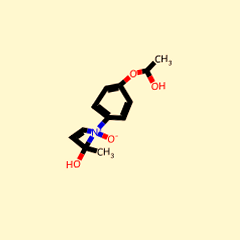 CC(O)Oc1ccc([N+]2([O-])C=CC2(C)O)cc1